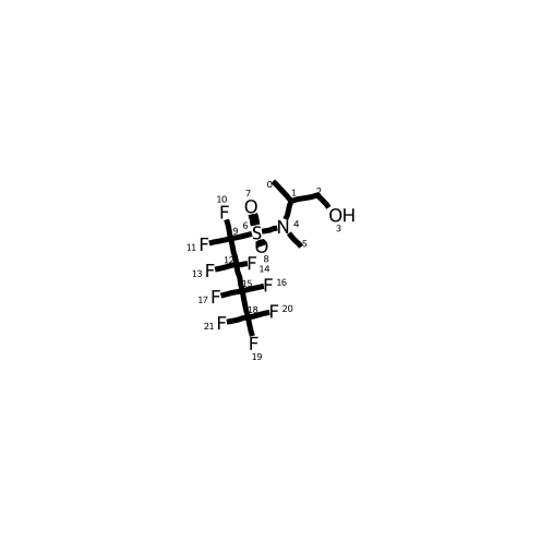 CC(CO)N(C)S(=O)(=O)C(F)(F)C(F)(F)C(F)(F)C(F)(F)F